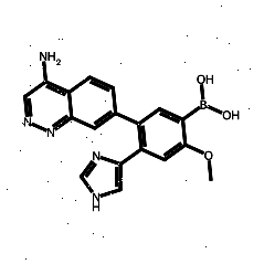 COc1cc(-c2c[nH]cn2)c(-c2ccc3c(N)cnnc3c2)cc1B(O)O